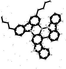 CCCCc1ccc2c(c1)c1cc(CCCC)cc3c1n2-c1cc2oc4ccccc4c2c2c1B3n1c3ccccc3c3cccc-2c31